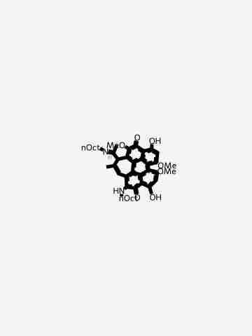 CCCCCCCC/N=C(\C)C1C(C)=Cc2c(NCCCCCCCC)c(=O)c3c(O)cc(OC)c4c5c(OC)cc(O)c6c(=O)c(OC)c1c(c2c34)c65